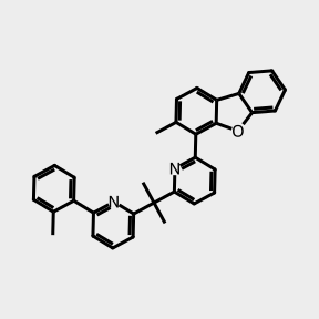 Cc1ccccc1-c1cccc(C(C)(C)c2cccc(-c3c(C)ccc4c3oc3ccccc34)n2)n1